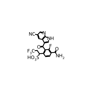 N#Cc1cnc2[nH]cc(C(=O)c3c(C(CC(F)(F)F)S(=O)(=O)O)ccc(C(N)=O)c3F)c2c1